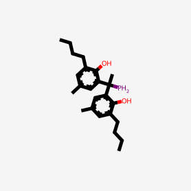 CCCCc1cc(C)cc(C(C)(P)c2cc(C)cc(CCCC)c2O)c1O